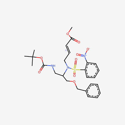 COC(=O)/C=C/CN(C(CNC(=O)OC(C)(C)C)COCc1ccccc1)S(=O)(=O)c1ccccc1[N+](=O)[O-]